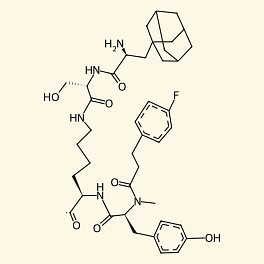 CN(C(=O)CCc1ccc(F)cc1)[C@@H](Cc1ccc(O)cc1)C(=O)N[C@@H]([C]=O)CCCCNC(=O)[C@H](CO)NC(=O)[C@@H](N)CC12CC3CC(CC(C3)C1)C2